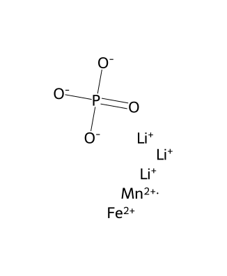 O=P([O-])([O-])[O-].[Fe+2].[Li+].[Li+].[Li+].[Mn+2]